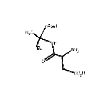 CCCCCC(C)(CCCC)NC(=O)C(N)CC(=O)O